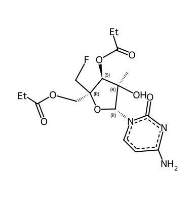 CCC(=O)OC[C@@]1(CF)O[C@@H](n2ccc(N)nc2=O)[C@](C)(O)[C@@H]1OC(=O)CC